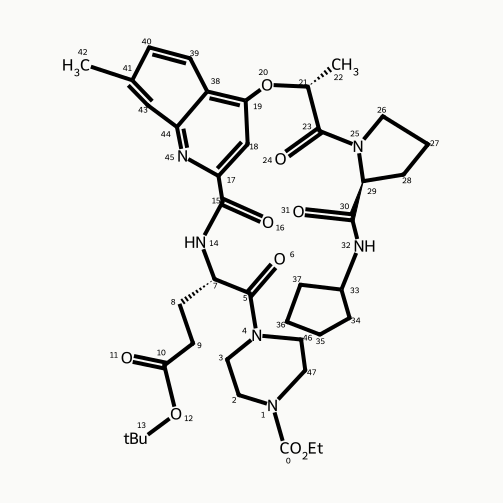 CCOC(=O)N1CCN(C(=O)[C@H](CCC(=O)OC(C)(C)C)NC(=O)c2cc(O[C@H](C)C(=O)N3CCC[C@H]3C(=O)NC3CCCC3)c3ccc(C)cc3n2)CC1